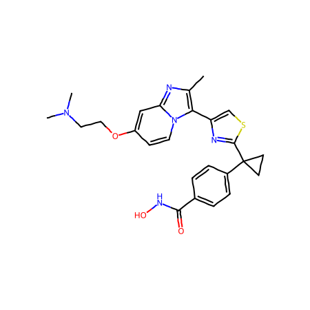 Cc1nc2cc(OCCN(C)C)ccn2c1-c1csc(C2(c3ccc(C(=O)NO)cc3)CC2)n1